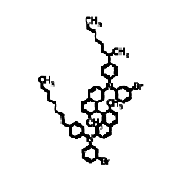 CCCCCCCCc1ccc(N(c2cccc(Br)c2)c2ccc3ccc(C)c(-c4c(C)ccc5ccc(N(c6ccc(C(C)CCCCCC)cc6)c6cccc(Br)c6)cc45)c3c2)cc1